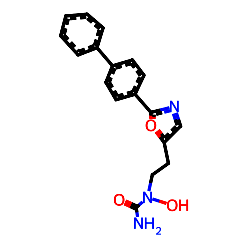 NC(=O)N(O)CCc1cnc(-c2ccc(-c3ccccc3)cc2)o1